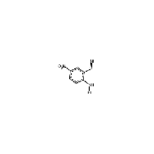 CCNc1ccc([N+](=O)[O-])cc1C=N